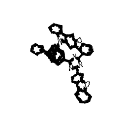 c1ccc(-c2ccc(-c3nc(-c4ccc5c(c4)oc4ccccc45)nc(-c4cccc5oc6cc7c8ccccc8n(-c8ccccc8)c7cc6c45)n3)cc2)cc1